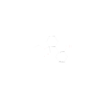 CCOC1(C=O)C=CC=CC1c1ccc(F)cc1O